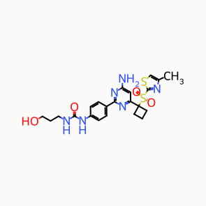 Cc1csc(S(=O)(=O)C2(c3cc(N)nc(-c4ccc(NC(=O)NCCCO)cc4)n3)CCC2)n1